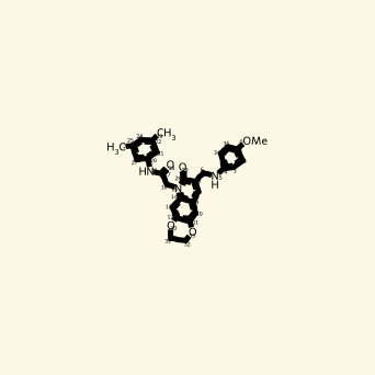 COc1ccc(NCc2cc3cc4c(cc3n(CC(=O)Nc3cc(C)cc(C)c3)c2=O)OCCO4)cc1